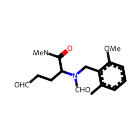 CNC(=O)C(CCC=O)N(C=O)Cc1c(C)cccc1OC